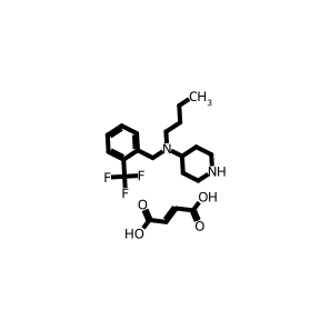 CCCCN(Cc1ccccc1C(F)(F)F)C1CCNCC1.O=C(O)C=CC(=O)O